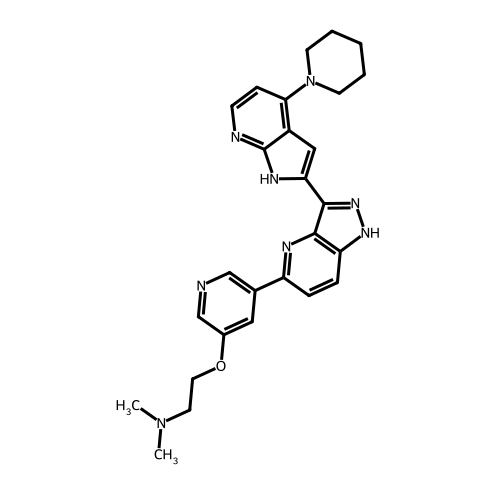 CN(C)CCOc1cncc(-c2ccc3[nH]nc(-c4cc5c(N6CCCCC6)ccnc5[nH]4)c3n2)c1